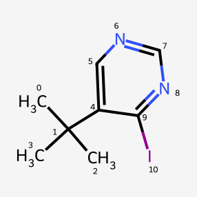 CC(C)(C)c1cncnc1I